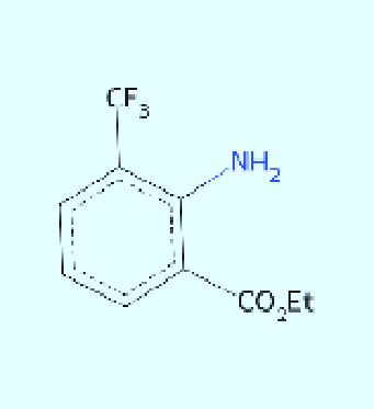 CCOC(=O)c1cccc(C(F)(F)F)c1N